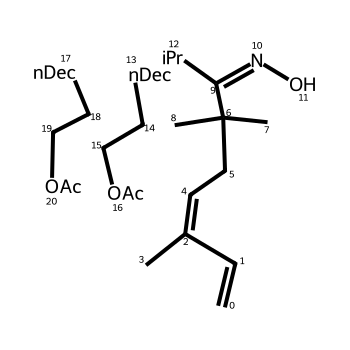 C=CC(C)=CCC(C)(C)C(=NO)C(C)C.CCCCCCCCCCCCOC(C)=O.CCCCCCCCCCCCOC(C)=O